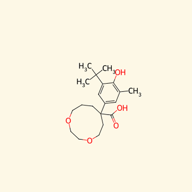 Cc1cc(C2(C(=O)O)CCCOCCOCC2)cc(C(C)(C)C)c1O